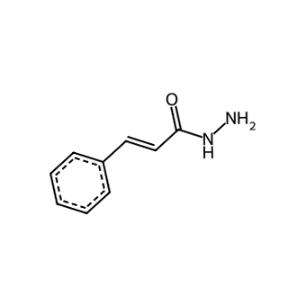 NNC(=O)C=Cc1ccccc1